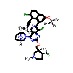 CC(C)[Si](C#Cc1c(F)ccc2cc(O[Si](C(C)C)(C(C)C)C(C)C)cc(-c3ncc4c(N5C[C@H]6CC[C@@H](C5)N6)nc(OC[C@]5(C)CN(C)CC[C@@H]5CF)nc4c3F)c12)(C(C)C)C(C)C